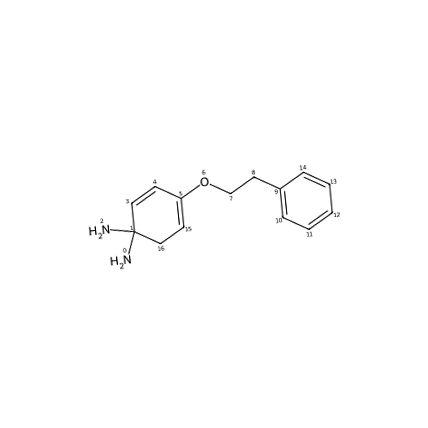 NC1(N)C=CC(OCCc2ccccc2)=CC1